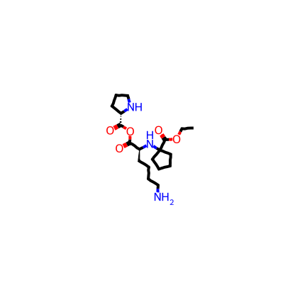 CCOC(=O)C1(N[C@@H](CCCCN)C(=O)OC(=O)[C@@H]2CCCN2)CCCC1